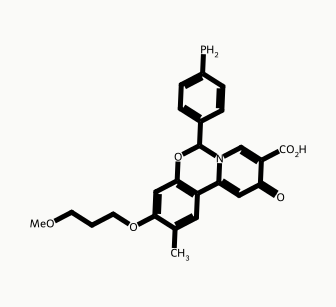 COCCCOc1cc2c(cc1C)-c1cc(=O)c(C(=O)O)cn1C(c1ccc(P)cc1)O2